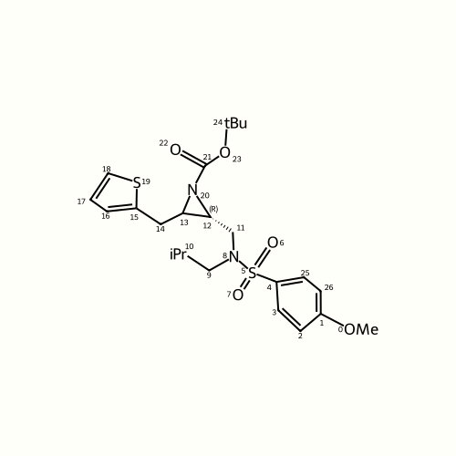 COc1ccc(S(=O)(=O)N(CC(C)C)C[C@@H]2C(Cc3cccs3)N2C(=O)OC(C)(C)C)cc1